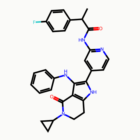 CC(C(=O)Nc1cc(-c2[nH]c3c(c2Nc2ccccc2)C(=O)N(C2CC2)CC3)ccn1)c1ccc(F)cc1